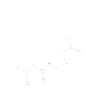 CC(=O)C/C=C\CC(=O)CC(C)=O